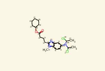 CC(Cl)N(c1ccc2c(c1)nc(CCCC(=O)OC1CCCCC1)n2C)C(C)Cl